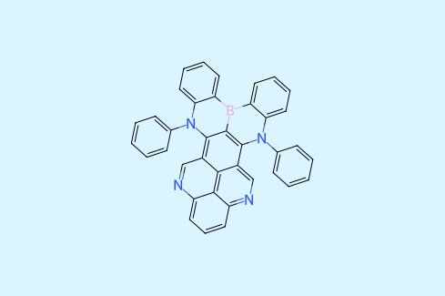 c1ccc(N2c3ccccc3B3c4ccccc4N(c4ccccc4)c4c3c2c2cnc3cccc5ncc4c2c35)cc1